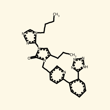 CCCCn1cnnc1-n1cc(CCC)n(Cc2ccc(-c3ccccc3-c3nnn[nH]3)nc2)c1=O